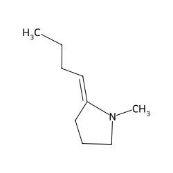 CCC/C=C1\CCCN1C